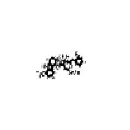 CSCCC(NC(=O)Cc1ccccc1F)C(=O)NC1(C(=O)O)CCc2[nH]c3c(C(F)(F)F)cccc3c2C1